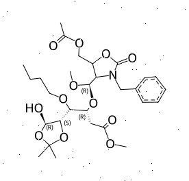 CCCCOC([C@@H](CC(=O)OC)O[C@@H](OC)C1C(COC(C)=O)OC(=O)N1Cc1ccccc1)[C@@H]1OC(C)(C)O[C@H]1O